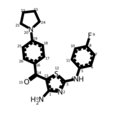 Nc1nc(Nc2ccc(F)cc2)sc1C(=O)c1ccc(N2CCCC2)cc1